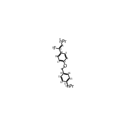 CCCC=C(F)c1ccc(OCc2ccc(CCC)cc2)cc1